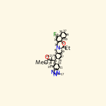 CC[C@@H]1CN(Cc2cc(C(c3ccc4c(nnn4C)c3C)C(C)(C)C(=O)OC)ccc2C)Cc2cc(F)c3ccccc3c2O1